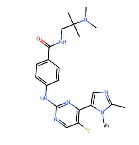 Cc1ncc(-c2nc(Nc3ccc(C(=O)NCC(C)(C)N(C)C)cc3)ncc2F)n1C(C)C